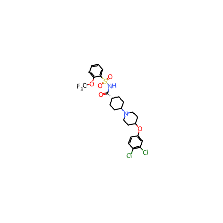 O=C(NS(=O)(=O)c1ccccc1OC(F)(F)F)[C@H]1CC[C@H](N2CCC(Oc3ccc(Cl)c(Cl)c3)CC2)CC1